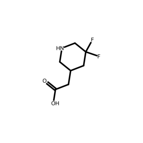 O=C(O)CC1CNCC(F)(F)C1